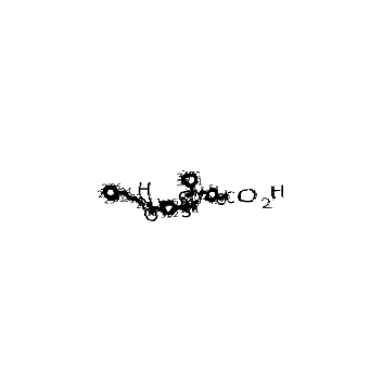 O=C(O)COc1ccc(CN(Cc2csc(-c3ccc(C(=O)NCCCCc4ccccc4)cc3)n2)C(=O)C2CCCCC2)cc1